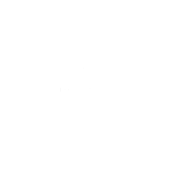 OB1OCc2cccc(Cl)c21